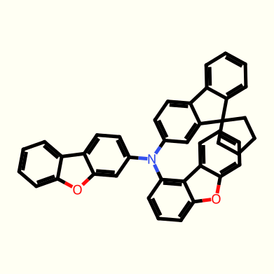 c1ccc2c(c1)-c1ccc(N(c3ccc4c(c3)oc3ccccc34)c3cccc4oc5ccccc5c34)cc1C21CCCC1